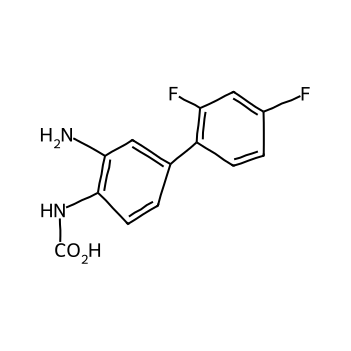 Nc1cc(-c2ccc(F)cc2F)ccc1NC(=O)O